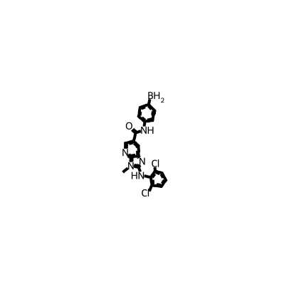 Bc1ccc(NC(=O)c2cnc3c(c2)nc(Nc2c(Cl)cccc2Cl)n3C)cc1